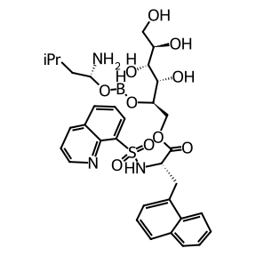 CC(C)C[C@H](N)OBO[C@H](COC(=O)[C@H](Cc1cccc2ccccc12)NS(=O)(=O)c1cccc2cccnc12)[C@@H](O)[C@H](O)[C@H](O)CO